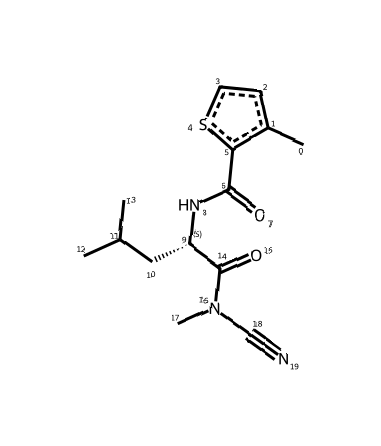 Cc1ccsc1C(=O)N[C@@H](CC(C)C)C(=O)N(C)C#N